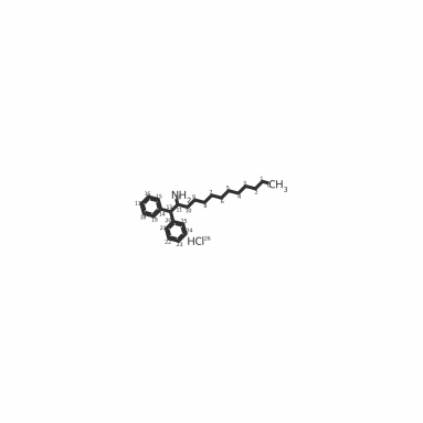 CCCCCCCCCCCC(N)C(c1ccccc1)c1ccccc1.Cl